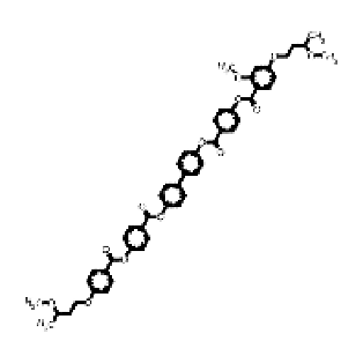 COc1cc(OCCC(C)OC)ccc1C(=O)Oc1ccc(C(=O)Oc2ccc(-c3ccc(OC(=O)c4ccc(OC(=O)c5ccc(OCCC(C)OC)cc5)cc4)cc3)cc2)cc1